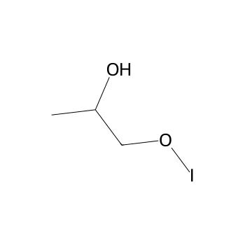 CC(O)COI